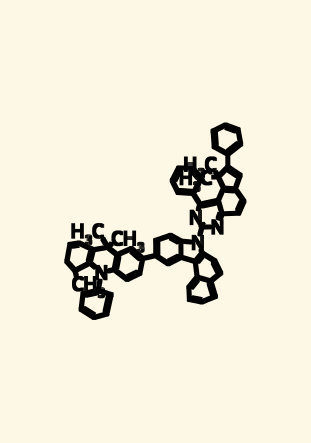 CC1CC=CC2=C1N(c1ccccc1)c1ccc(-c3ccc4c(c3)c3c5ccccc5ccc3n4-c3nc(-c4ccccc4)c4c5c(ccc4n3)C=C(c3ccccc3)C5(C)C)cc1C2(C)C